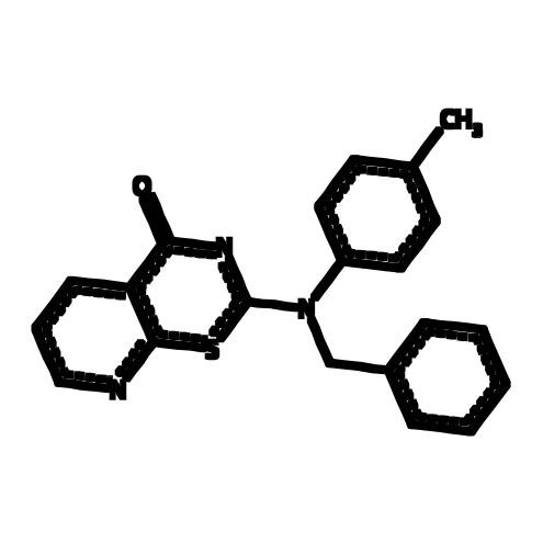 Cc1ccc(N(Cc2ccccc2)c2nc(=O)c3cccnc3s2)cc1